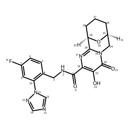 O=C(NCc1ccc(F)cc1-n1cncn1)c1nc2n(c(=O)c1O)C[C@@H]1CCC[C@H]2O1